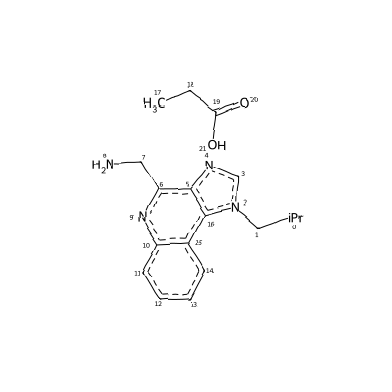 CC(C)Cn1cnc2c(CN)nc3ccccc3c21.CCC(=O)O